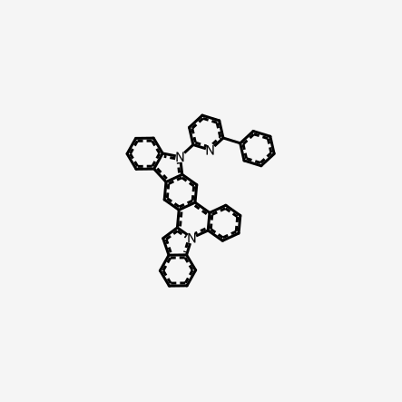 c1ccc(-c2cccc(-n3c4ccccc4c4cc5c(cc43)c3ccccc3n3c4ccccc4cc53)n2)cc1